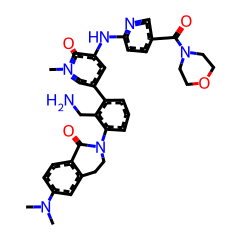 CN(C)c1ccc2c(c1)CCN(c1cccc(-c3cc(Nc4ccc(C(=O)N5CCOCC5)cn4)c(=O)n(C)c3)c1CN)C2=O